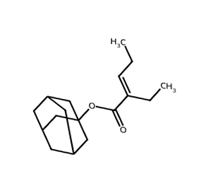 CCC=C(CC)C(=O)OC12CC3CC(CC(C3)C1)C2